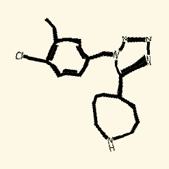 Cc1cc(-n2nnnc2C2CCNCC2)ccc1Cl